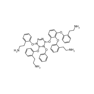 NCCc1ccccc1Oc1cccc(Op2npn(Oc3ccccc3CCN)p(Oc3ccccc3CCN)n2Oc2ccccc2)c1Oc1ccccc1CCN